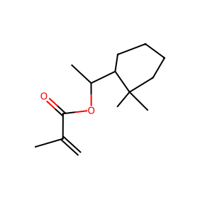 C=C(C)C(=O)OC(C)C1CCCCC1(C)C